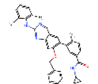 Cc1ccc(C(=O)NC2CC2)cc1-c1cc2cnc(Nc3c(C)cccc3C)nc2cc1OCc1ccccc1